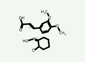 COc1ccc(/C=C/C(=O)O)cc1OC.O/N=C1/CCCCC1Cl